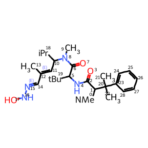 CNC(C(=O)NC(C(=O)N(C)C(/C=C(C)/C=N/NO)C(C)C)C(C)(C)C)C(C)(C)c1ccccc1